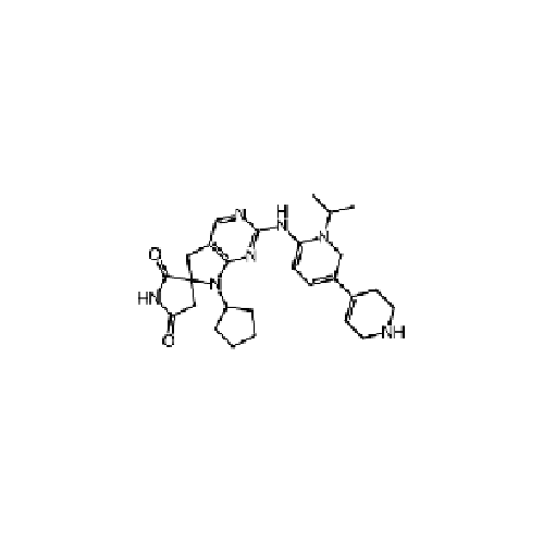 CC(C)N1CC(C2=CCNCC2)=CC=C1Nc1ncc2c(n1)N(C1CCCC1)C1(CC(=O)NC1=O)C2